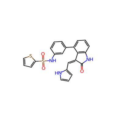 O=C1Nc2cccc(-c3cccc(NS(=O)(=O)c4cccs4)c3)c2/C1=C/c1ccc[nH]1